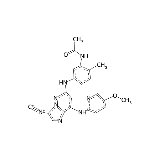 [C-]#[N+]c1cnc2c(Nc3ccc(OC)cn3)cc(Nc3ccc(C)c(NC(C)=O)c3)nn12